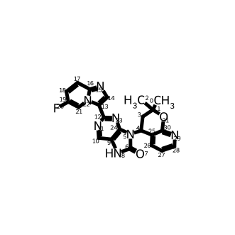 CC1(C)CC(n2c(=O)[nH]c3cnc(-c4cnc5ccc(F)cn45)nc32)c2cccnc2O1